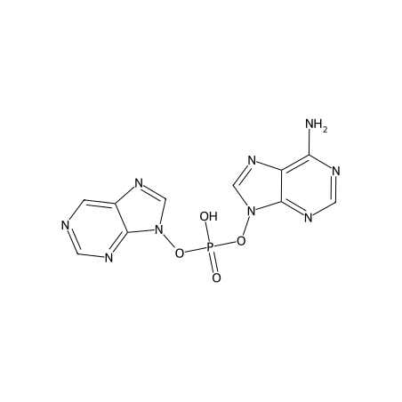 Nc1ncnc2c1ncn2OP(=O)(O)On1cnc2cncnc21